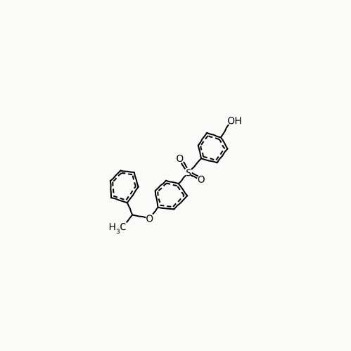 CC(Oc1ccc(S(=O)(=O)c2ccc(O)cc2)cc1)c1ccccc1